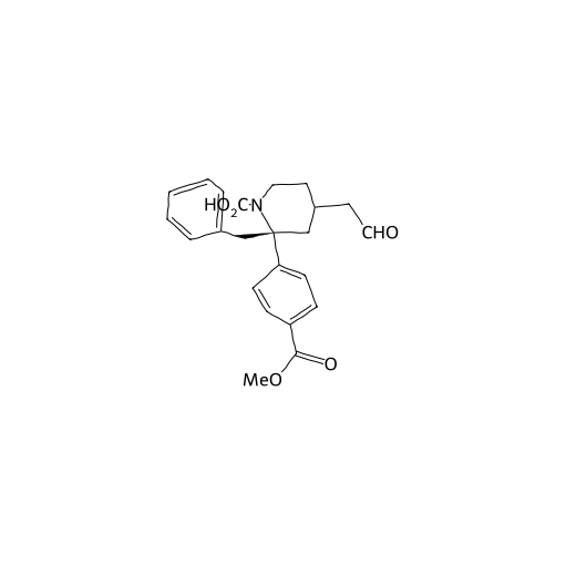 COC(=O)c1ccc([C@@]2(Cc3ccccc3)CC(CC=O)CCN2C(=O)O)cc1